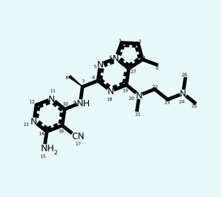 Cc1ccn2nc([C@H](C)Nc3ncnc(N)c3C#N)nc(N(C)CCN(C)C)c12